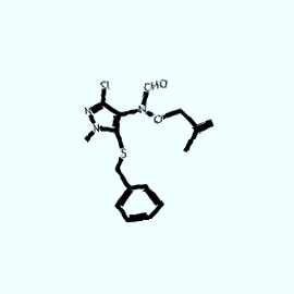 C=C(C)CON(C=O)c1c(Cl)nn(C)c1SCc1ccccc1